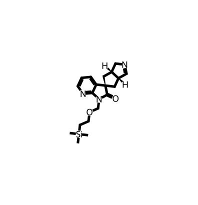 C[Si](C)(C)CCOCN1C(=O)[C@]2(C[C@@H]3CN=C[C@@H]3C2)c2cccnc21